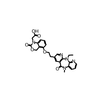 CCN1c2ncc(CCOc3cccc4c3COC(=O)N4CC(=O)O)cc2C(=O)N(C)c2cccnc21